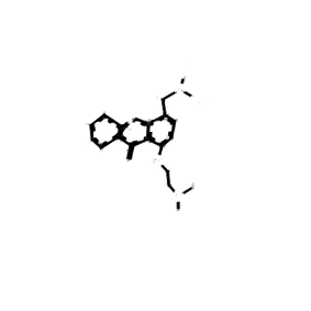 CCN(CC)CCNc1ccc(CN(C)C=O)c2sc3ccccc3c(=O)c12